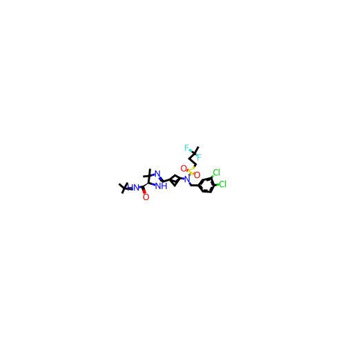 CC(C)(C)CNC(=O)[C@@H]1NC(C23CC(N(Cc4ccc(Cl)c(Cl)c4)S(=O)(=O)CCC(C)(F)F)(C2)C3)=NC1(C)C